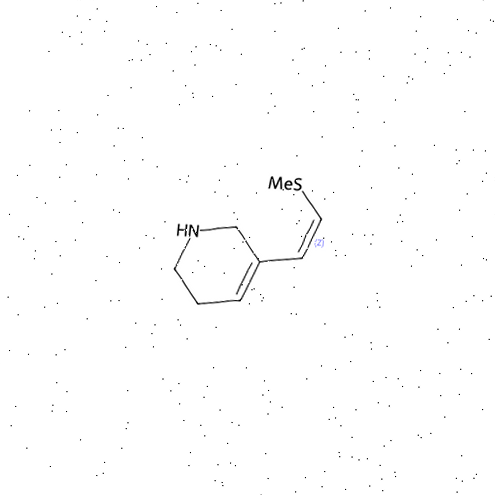 CS/C=C\C1=CCCNC1